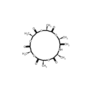 C=C1N[C@@H](C)C(=O)O[C@@H](C)C(=O)O[C@@H](C)C(=O)O[C@@H](C)C(=O)O[C@@H](C)C(=O)O[C@H]1C